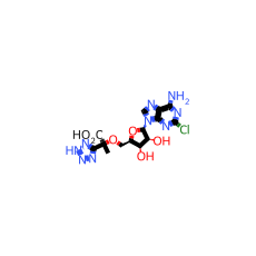 CC(OC[C@H]1O[C@@H](n2cnc3c(N)nc(Cl)nc32)[C@H](O)[C@@H]1O)(C(=O)O)c1nn[nH]n1